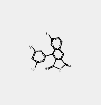 CCc1ccc2cc3c(c(-c4cc(C(F)(F)F)cc(C(F)(F)F)c4)c2c1)C(=N)NC3=N